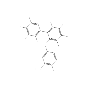 Nc1cc(Oc2c(F)c(F)c(F)c(F)c2-c2cc(F)c(F)c(F)c2F)ccc1O